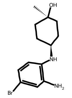 C[C@]1(O)CC[C@@H](Nc2ccc(Br)cc2N)CC1